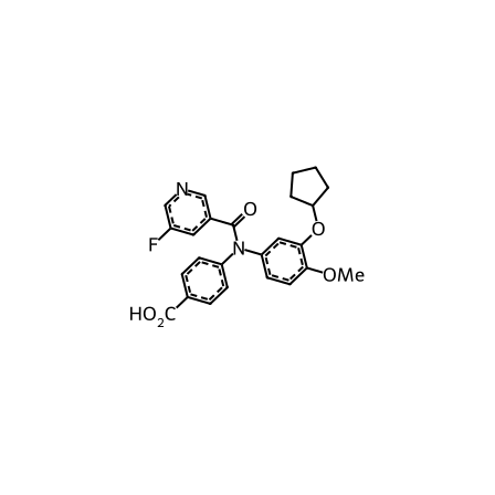 COc1ccc(N(C(=O)c2cncc(F)c2)c2ccc(C(=O)O)cc2)cc1OC1CCCC1